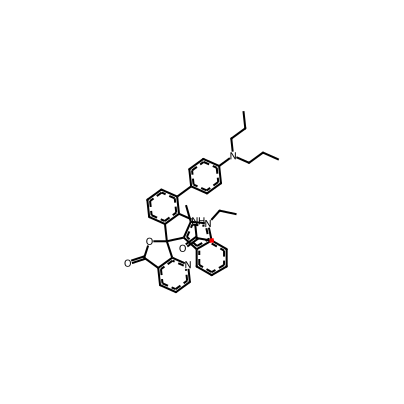 CCCN(CCC)c1ccc(-c2cccc(C3(c4c(C)n(CC)c5ccccc45)OC(=O)c4cccnc43)c2NC(C)=O)cc1